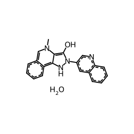 CN1C=c2ccccc2=C2NN(c3cnc4ccccc4c3)C(O)=C21.O